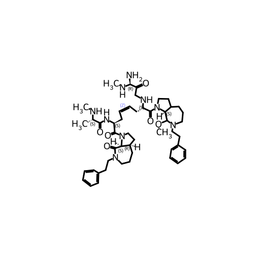 CN[C@@H](C)C(=O)N[C@@H](C/C=C\C[C@H](NCC(=O)[C@H](N)NC)C(=O)N1CCC2CCCN(CCc3ccccc3)C(OC)[C@H]21)C(=O)N1CC[C@H]2CCCN(CCc3ccccc3)C(=O)[C@H]21